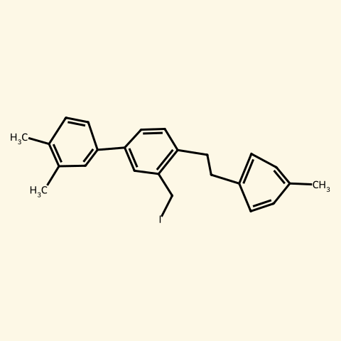 Cc1ccc(CCc2ccc(-c3ccc(C)c(C)c3)cc2CI)cc1